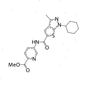 COC(=O)c1ccc(NC(=O)c2cc3c(C)nn(C4CCCCC4)c3s2)cn1